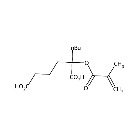 C=C(C)C(=O)OC(CCCC)(CCCC(=O)O)C(=O)O